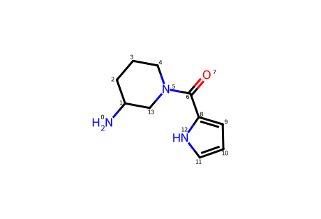 NC1CCCN(C(=O)c2ccc[nH]2)C1